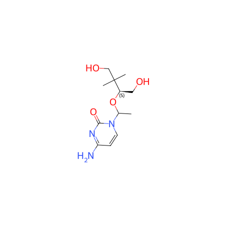 CC(O[C@H](CO)C(C)(C)CO)n1ccc(N)nc1=O